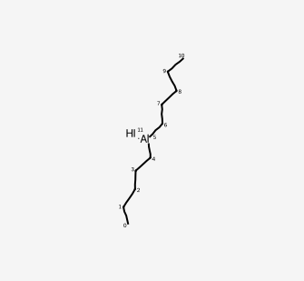 CCCC[CH2][Al][CH2]CCCC.I